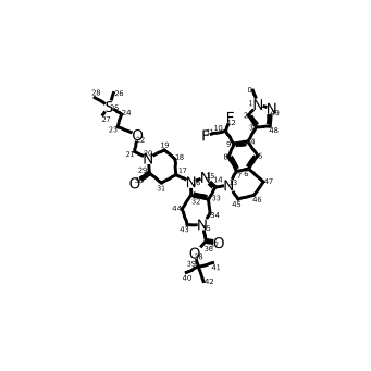 Cn1cc(-c2cc3c(cc2C(F)F)N(c2nn(C4CCN(COCCS(C)(C)C)C(=O)C4)c4c2CN(C(=O)OC(C)(C)C)CC4)CCC3)cn1